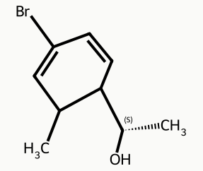 CC1C=C(Br)C=CC1[C@H](C)O